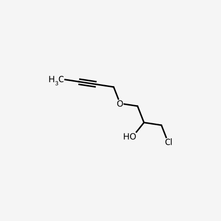 CC#CCOCC(O)CCl